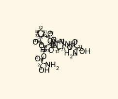 N[C@@H](CO)C(=O)OC[C@H]1O[C@@H](n2ccc(NOC(=O)[C@@H](N)CO)nc2=O)[C@@H]2OC(=O)c3ccccc3C(=O)O[C@@H]21